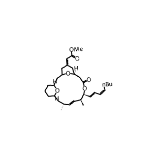 CCCC/C=C\C=C\[C@@H]1OC(=O)C[C@@H]2C/C(=C\C(=O)OC)CC(C[C@@H]3CCC[C@H](C[C@@H](C)/C=C/[C@@H]1C)O3)O2